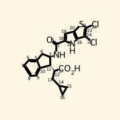 O=C(N[C@@H]1Cc2ccccc2[C@H]1C(CC1CC1)C(=O)O)c1cc2sc(Cl)c(Cl)c2[nH]1